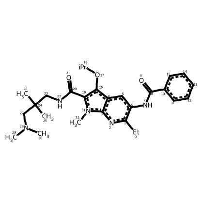 CCc1nc2c(cc1NC(=O)c1ccccc1)c(OC(C)C)c(C(=O)NCC(C)(C)CN(C)C)n2C